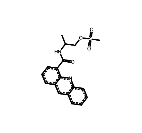 CC(COS(C)(=O)=O)NC(=O)c1cccc2cc3ccccc3nc12